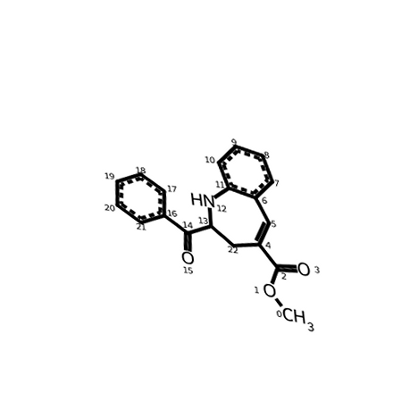 COC(=O)C1=Cc2ccccc2NC(C(=O)c2ccccc2)C1